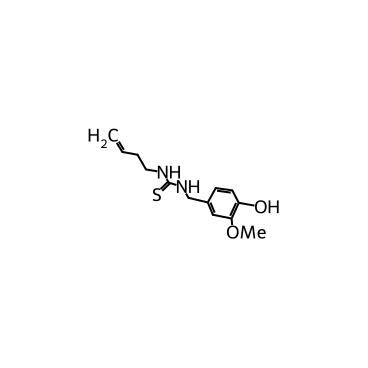 C=CCCNC(=S)NCc1ccc(O)c(OC)c1